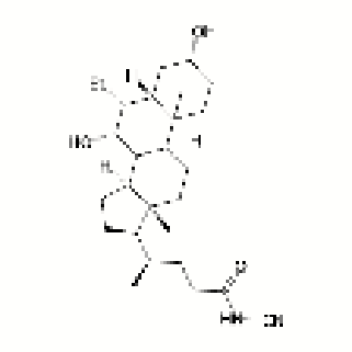 CC[C@H]1[C@@H](O)C2[C@H](CC[C@]3(C)[C@@H]([C@H](C)CCC(=O)NC#N)CC[C@@H]23)C2(C)CC[C@@H](O)C[C@@H]12